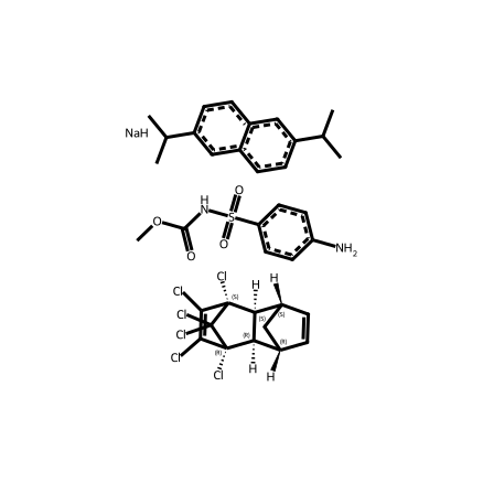 CC(C)c1ccc2cc(C(C)C)ccc2c1.COC(=O)NS(=O)(=O)c1ccc(N)cc1.ClC1=C(Cl)[C@]2(Cl)[C@H]3[C@H]([C@@H]4C=C[C@H]3C4)[C@@]1(Cl)C2(Cl)Cl.[NaH]